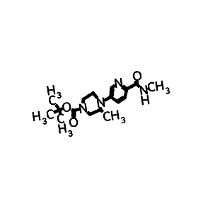 CNC(=O)c1ccc(N2CCN(C(=O)OC(C)(C)C)CC2C)cn1